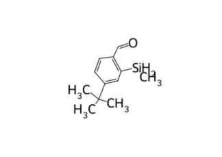 C[SiH2]c1cc(C(C)(C)C)ccc1C=O